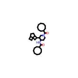 O=C(NC1CCN(C(=O)C2CCCCCCCC2)CC1C1CC23CCC2CCC13)C1CCCCCCCC1